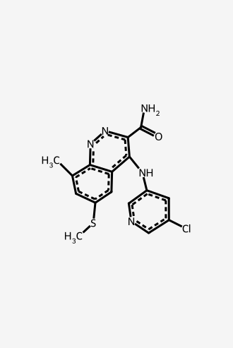 CSc1cc(C)c2nnc(C(N)=O)c(Nc3cncc(Cl)c3)c2c1